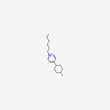 CCCCCC[n+]1ccc(C2CCC(C)CC2)cc1